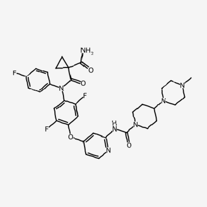 CN1CCN(C2CCN(C(=O)Nc3cc(Oc4cc(F)c(N(C(=O)C5(C(N)=O)CC5)c5ccc(F)cc5)cc4F)ccn3)CC2)CC1